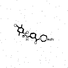 CCCN1CCCN(C(=O)c2cccc(NS(=O)(=O)c3cc(C)c(Cl)cc3C)c2)CC1